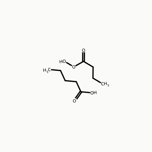 CCCC(=O)OO.CCCCC(=O)O